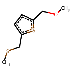 COCc1ccc(CSC)s1